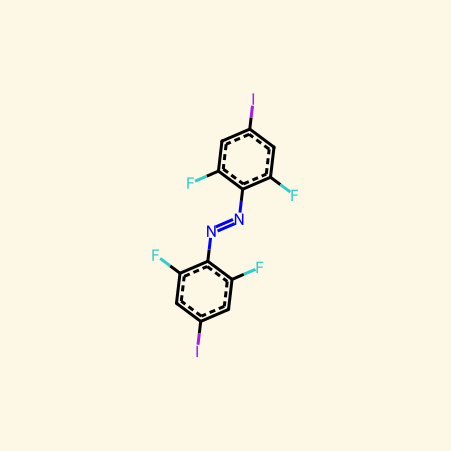 Fc1cc(I)cc(F)c1N=Nc1c(F)cc(I)cc1F